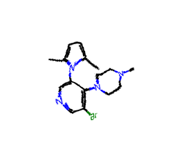 Cc1ccc(C)n1-c1cncc(Br)c1N1CCN(C)CC1